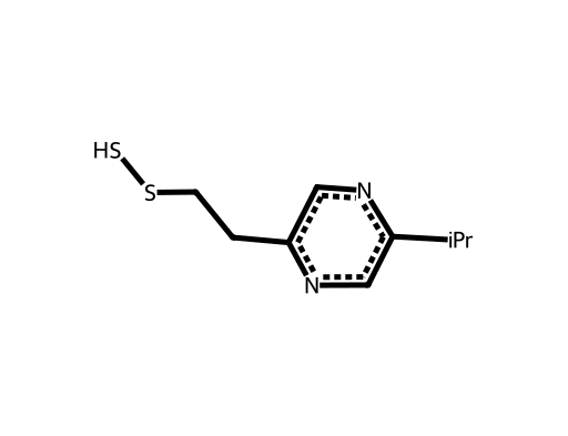 CC(C)c1cnc(CCSS)cn1